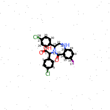 O=C(O)C(c1ccc(Cl)cc1)N1C(=O)c2cc(I)ccc2NCC1c1ccc(Cl)cc1